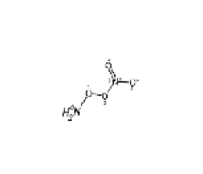 NOO[N+](=O)[O-]